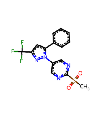 CS(=O)(=O)c1ncc(-n2nc(C(F)(F)F)cc2-c2ccccc2)cn1